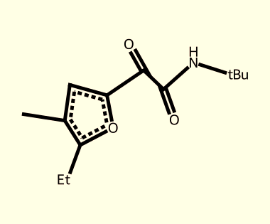 CCc1oc(C(=O)C(=O)NC(C)(C)C)cc1C